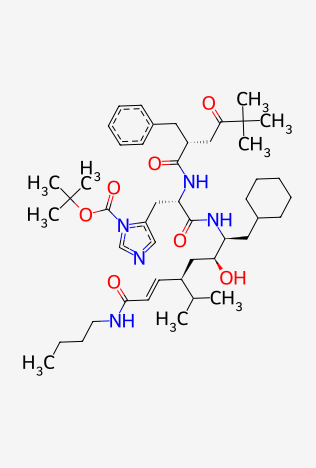 CCCCNC(=O)/C=C/[C@@H](C[C@H](O)[C@H](CC1CCCCC1)NC(=O)[C@H](Cc1cncn1C(=O)OC(C)(C)C)NC(=O)[C@@H](CC(=O)C(C)(C)C)Cc1ccccc1)C(C)C